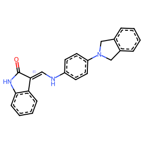 O=C1Nc2ccccc2/C1=C\Nc1ccc(N2Cc3ccccc3C2)cc1